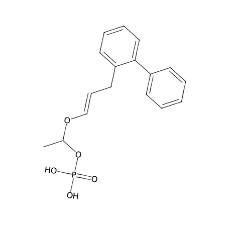 CC(OC=CCc1ccccc1-c1ccccc1)OP(=O)(O)O